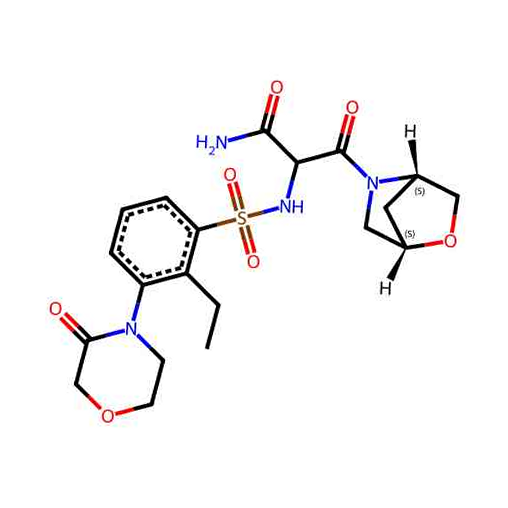 CCc1c(N2CCOCC2=O)cccc1S(=O)(=O)NC(C(N)=O)C(=O)N1C[C@@H]2C[C@H]1CO2